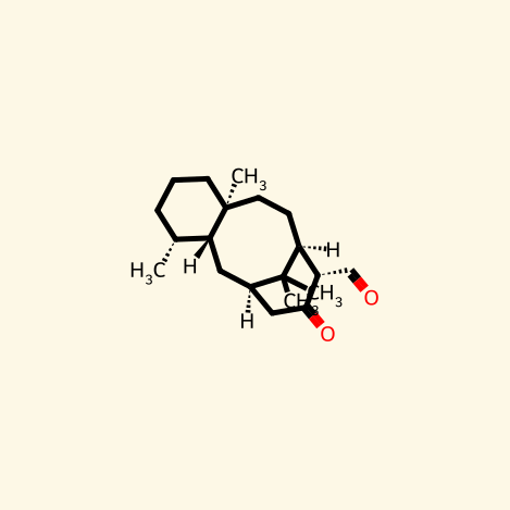 C[C@@H]1CCC[C@@]2(C)CC[C@H]3[C@H](C=O)C(=O)C[C@@H](C[C@H]12)C3(C)C